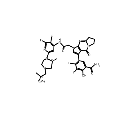 CO[C@@H](C)CN1CCN(c2cc(NC(=O)Cn3cc(-c4cc(C(N)=O)c(O)c(F)c4F)c4c(=O)n5c(nc43)CCC5)c(Cl)c(F)n2)[C@@H](C)C1